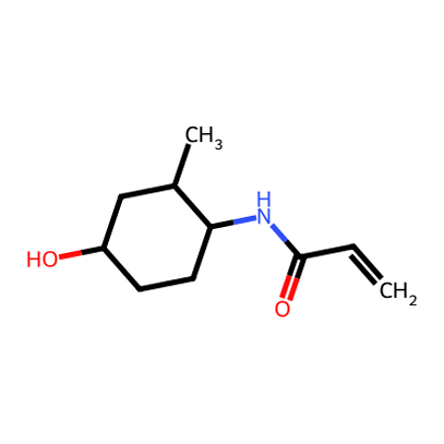 C=CC(=O)NC1CCC(O)CC1C